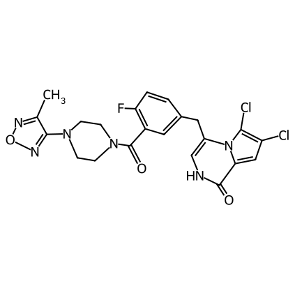 Cc1nonc1N1CCN(C(=O)c2cc(Cc3c[nH]c(=O)c4cc(Cl)c(Cl)n34)ccc2F)CC1